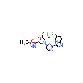 Cc1nnc(C2CN(c3ccnc(-c4cnc5ccc(Cl)cn45)n3)CC(C)O2)o1